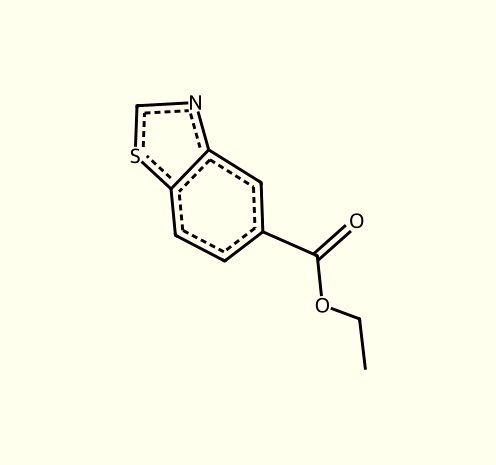 CCOC(=O)c1ccc2scnc2c1